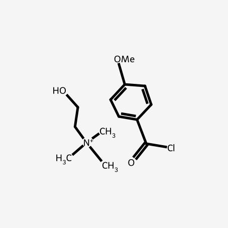 COc1ccc(C(=O)Cl)cc1.C[N+](C)(C)CCO